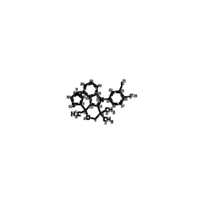 CC1(C)COC(C)(c2cccs2)c2c1n(-c1ccc(F)c(F)c1)c1cccc(O)c21